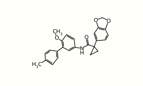 COc1ccc(NC(=O)C2(c3ccc4c(c3)OCO4)CC2)cc1-c1ccc(C)cc1